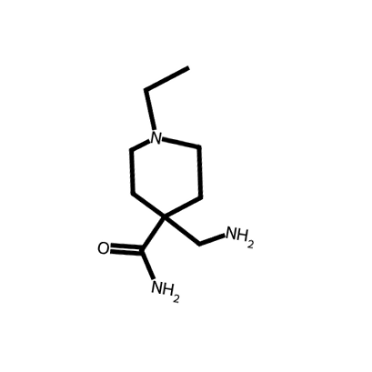 CCN1CCC(CN)(C(N)=O)CC1